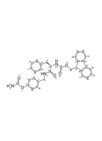 NC(=O)Oc1ccc(CNC(=O)[C@@H](Cc2ccccc2)NC(=O)OCC2c3ccccc3-c3ccccc32)cc1